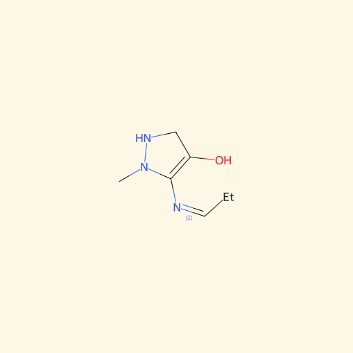 CC/C=N\C1=C(O)CNN1C